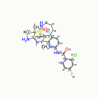 CC1(C)C(N)=N[C@](C)(c2nc(NC(=O)c3ncc(F)cc3Cl)ccc2F)[C@H]2CCCCN[SH]21=O